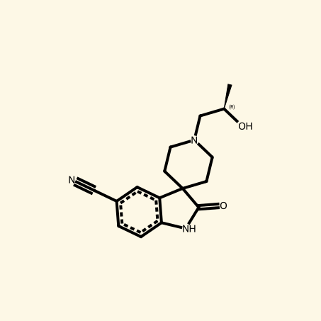 C[C@@H](O)CN1CCC2(CC1)C(=O)Nc1ccc(C#N)cc12